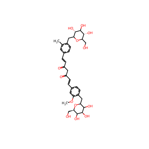 COc1cc(/C=C/C(=O)CC(=O)/C=C/c2ccc(CC3OC(CO)[C@@H](O)C(O)[C@H]3O)c(C)c2)ccc1CC1O[C@H](CO)C(O)[C@H](O)C1O